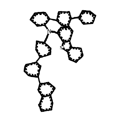 c1ccc(-c2ccc(-c3ccccc3N(c3ccc(-c4cccc(-c5ccc6ccccc6c5)c4)cc3)c3cccc4c3sc3ccccc34)cc2)cc1